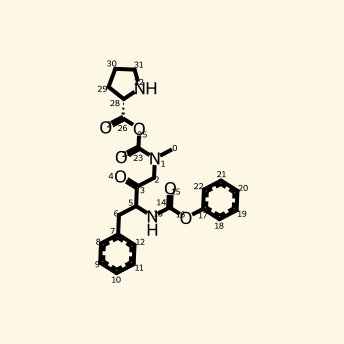 CN(CC(=O)C(Cc1ccccc1)NC(=O)Oc1ccccc1)C(=O)OC(=O)[C@@H]1CCCN1